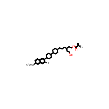 C=C(CC)C(=O)OCCC(CCO)CCCC1CCC(C2CCC(c3cc4ccc(CCCCC)cc4cc3CC)CC2)CC1